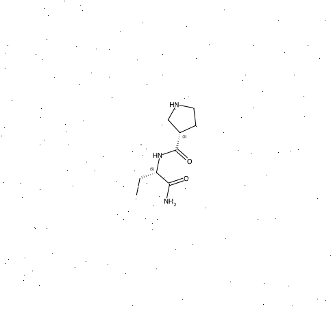 CC[C@H](NC(=O)[C@H]1CCNC1)C(N)=O